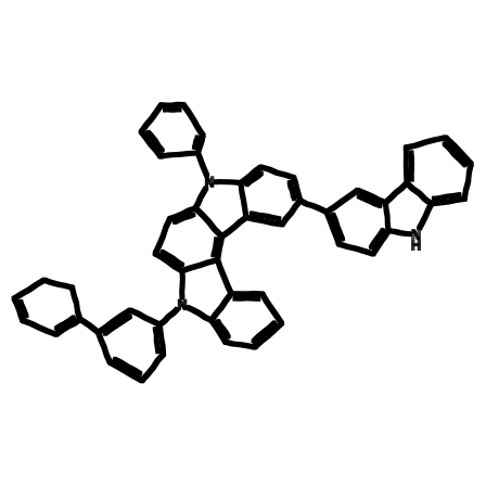 C1=CCCC(c2cccc(-n3c4ccccc4c4c5c6cc(-c7ccc8[nH]c9ccccc9c8c7)ccc6n(-c6ccccc6)c5ccc43)c2)=C1